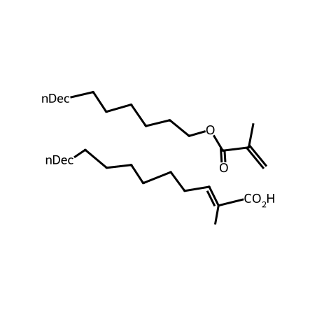 C=C(C)C(=O)OCCCCCCCCCCCCCCCC.CCCCCCCCCCCCCCCCC=C(C)C(=O)O